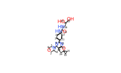 C[C@H]1COCCN1c1nc(-c2ccc(NC(=O)NC[C@@H](O)CO)cc2)nc2c1CCC1(CC1)O2